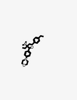 CCc1ccc(CCC(CC)(C(=O)c2ccc(N3CCOCC3)cc2)N(C)C)cc1